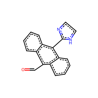 O=Cc1c2ccccc2c(-c2ncc[nH]2)c2ccccc12